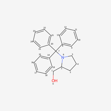 OCC1CCCN1C(c1ccccc1)(c1ccccc1)c1ccccc1